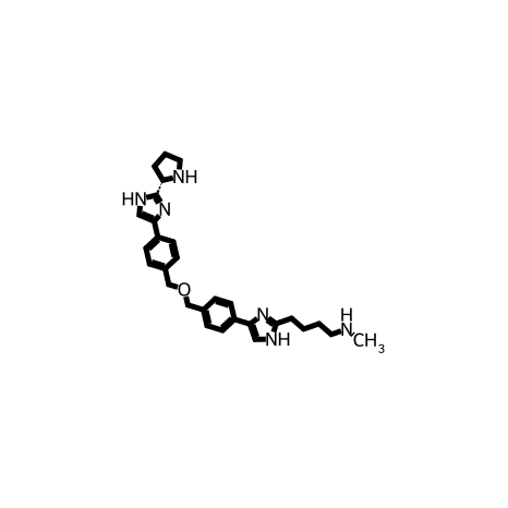 CNCCCCc1nc(-c2ccc(COCc3ccc(-c4c[nH]c([C@@H]5CCCN5)n4)cc3)cc2)c[nH]1